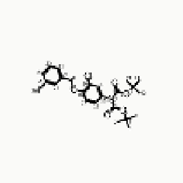 CC(C)(C)OC(=O)N(C(=O)OC(C)(C)C)c1ccc(OCc2cccc(I)c2)c(Cl)c1